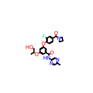 Cc1cnc(NC(=O)c2cc(Oc3ccc(C(=O)N4CCC4)cc3F)cc(OC(C)CO)c2)cn1